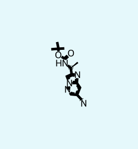 C[C@H](NC(=O)OC(C)(C)C)c1cn2ncc(C#N)cc2n1